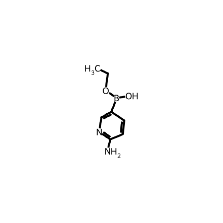 CCOB(O)c1ccc(N)nc1